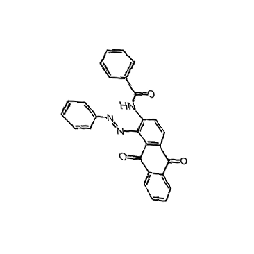 O=C(Nc1ccc2c(c1N=Nc1ccccc1)C(=O)c1ccccc1C2=O)c1ccccc1